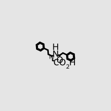 O=C(O)C[C@@H](CCc1ccccc1)NC(=O)Cc1ccccc1